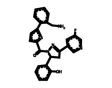 NCc1ccccc1-c1ccc(C(=O)N2N=C(c3cncc(F)c3)CC2c2ccccc2O)s1